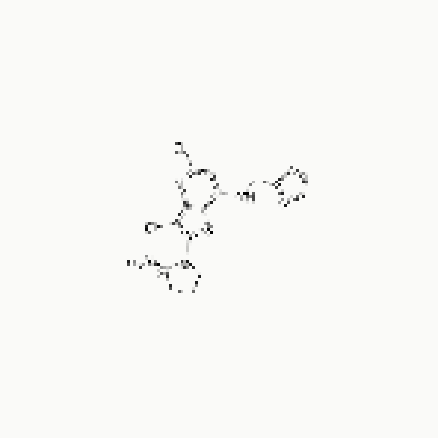 N[C@@H]1CCC[C@H]1c1sc2c(NCc3ccco3)cc(Cl)nc2c1Cl